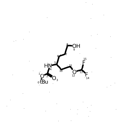 CC(C)(C)OC(=O)NC(CCCO)CCOC(F)F